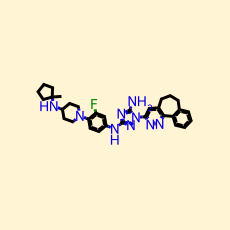 CC1(NC2CCN(c3ccc(Nc4nc(N)n(-c5cc6c(nn5)-c5ccccc5CCC6)n4)cc3F)CC2)CCCC1